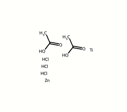 CC(=O)O.CC(=O)O.Cl.Cl.Cl.[Ti].[Zn]